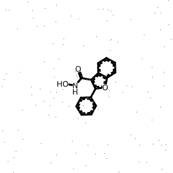 O=C(NO)c1c(-c2ccccc2)oc2ccccc12